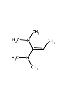 CN(C)C(=C[SiH3])N(C)C